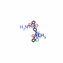 Cn1nc(-c2ccc(NC(=O)c3ccccc3COCCN)cc2)cc1NC(=O)c1ccccc1Cl